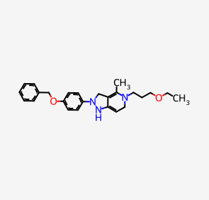 CCOCCCN1CC=C2NN(c3ccc(OCc4ccccc4)cc3)CC2=C1C